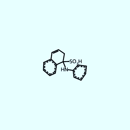 O=S(=O)(O)C1(Nc2ccccc2)CC=Cc2ccccc21